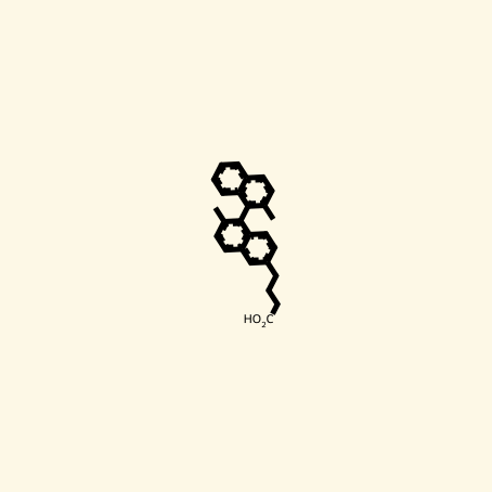 Cc1ccc2ccccc2c1-c1c(C)ccc2cc(CCCC(=O)O)ccc12